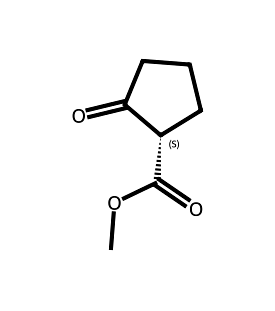 COC(=O)[C@H]1CCCC1=O